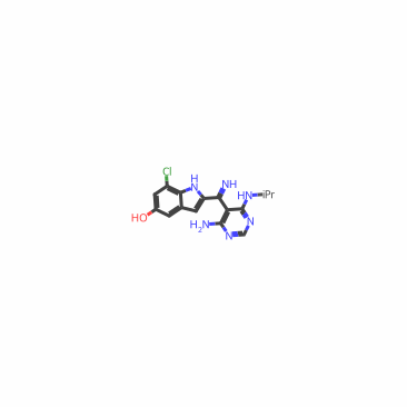 CC(C)Nc1ncnc(N)c1C(=N)c1cc2cc(O)cc(Cl)c2[nH]1